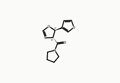 O=C([C@@H]1N=CO[C@H]1c1ccoc1)N1CCCC1